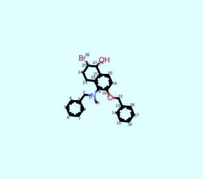 CN(Cc1ccccc1)c1c(OCc2ccccc2)ccc2c1CCC(Br)C2O